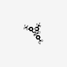 COC(=O)c1ccc(S(=O)(=O)N(Cc2cccc(OC(F)(F)F)c2)c2ncc(C(F)(F)F)cc2Cl)cc1